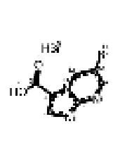 Br.O=C(O)c1cnc2ncc(Br)cn12